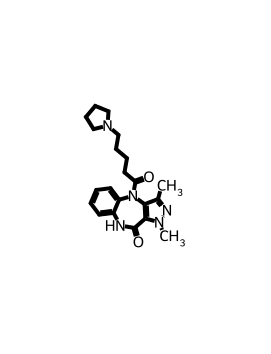 Cc1nn(C)c2c1N(C(=O)CCCCN1CCCC1)c1ccccc1NC2=O